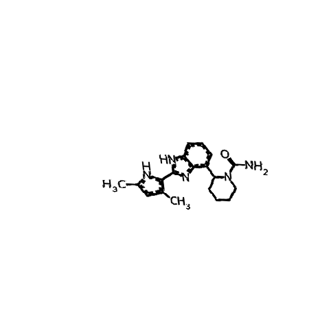 Cc1cc(C)c(-c2nc3c(C4CCCCN4C(N)=O)cccc3[nH]2)[nH]1